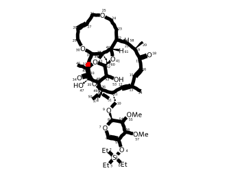 CC[Si](CC)(CC)OC1=CO[C@@H](OC[C@H]2/C=C(C)/C=C/C(=O)[C@H](C)C[C@@H]3CCOC/C=C/CO[C@H](CC(=O)O[C@@H]2I)[C@H](C)[C@H]3O[C@@H]2OC(C)[C@@H](O)C(N(C)C)C2O)C(OC)C1OC